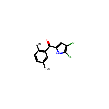 COc1ccc(OC)c(C(=O)c2cc(Br)c(Br)[nH]2)c1